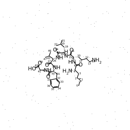 CSCC[C@H](N)C(=O)N[C@@H](CCCCN)C(=O)N[C@@H](CC(C)C)C(=O)N[C@H](C(=O)N[C@@H](Cc1ccccc1)C(=O)NCC(=O)O)C(C)C